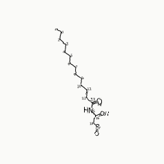 CCCCCCCCCCCCCC(=O)NC(O)CP=O